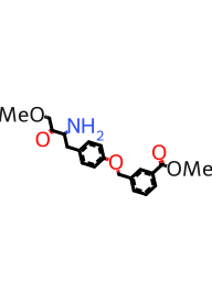 COCC(=O)C(N)Cc1ccc(OCc2cccc(C(=O)OC)c2)cc1